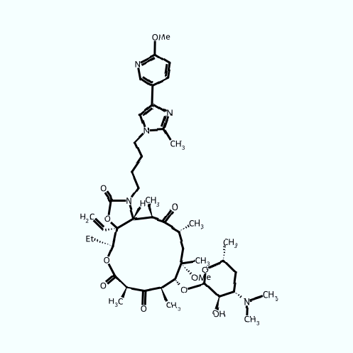 C=C[C@]12OC(=O)N(CCCCn3cc(-c4ccc(OC)nc4)nc3C)[C@@H]1[C@@H](C)C(=O)[C@H](C)C[C@](C)(OC)[C@H](OC1O[C@H](C)C[C@H](N(C)C)[C@H]1O)[C@@H](C)C(=O)[C@@H](C)C(=O)O[C@@H]2CC